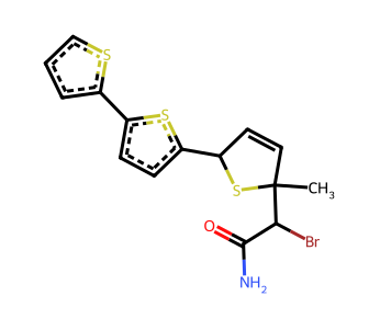 CC1(C(Br)C(N)=O)C=CC(c2ccc(-c3cccs3)s2)S1